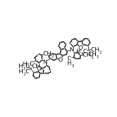 Cc1ccc(C)c(N(c2ccc3c(c2)oc2cc(N(c4cc(C)ccc4C)c4cccc5c4oc4c(C(C)(C)C)cccc45)c4ccccc4c23)c2cccc3c2oc2c(C(C)(C)C)cccc23)c1